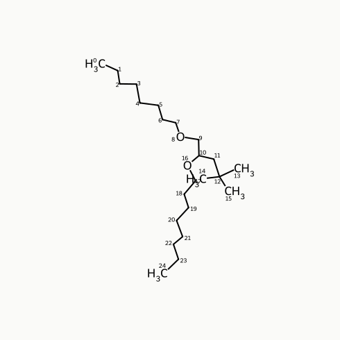 CCCCCCCCOCC(CC(C)(C)C)OCCCCCCCC